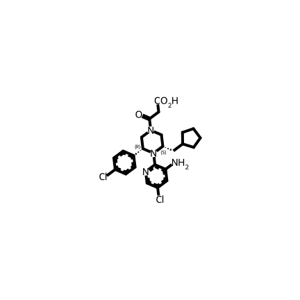 Nc1cc(Cl)cnc1N1[C@@H](CC2CCCC2)CN(C(=O)CC(=O)O)C[C@H]1c1ccc(Cl)cc1